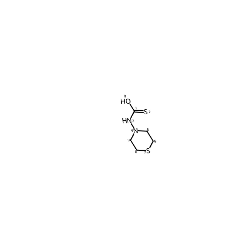 OC(=S)NN1CCSCC1